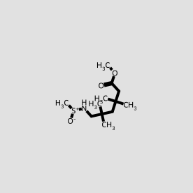 COC(=O)CC(C)(C)CC(C)(C)CN[S+](C)[O-]